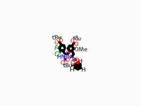 COc1c(CC(NC(=O)C(NC(=O)OC(C)(C)C)c2ccc(C(=O)OC(C)(C)C)c(F)c2Cl)B2O[C@@H]3C[C@@H]4C[C@@H](C4(C)C)[C@]3(C)O2)cccc1C(=O)OC(C)(C)C